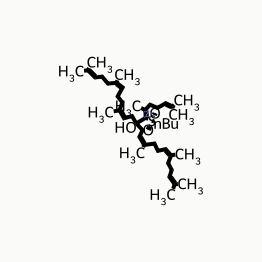 CCCCS(=O)(=O)/C(=C(/C)CCC=C(C)C)C(O)(CC=C(C)CCC=C(C)CCC=C(C)C)CC=C(C)CCC=C(C)CCC=C(C)C